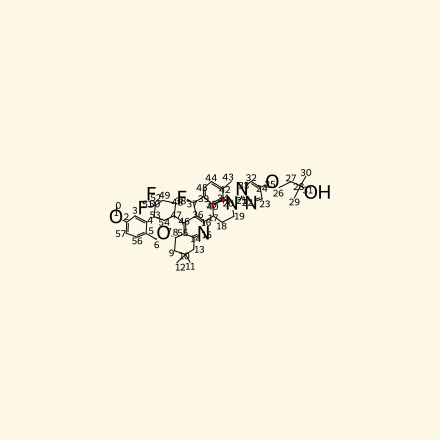 COc1ccc(CO[C@H]2CC(C)(C)Cc3nc(C4CCN(c5ncc(OCCC(C)(C)O)cn5)CC4)c([C@@H](F)c4ccc(C)cc4)c(C4CCC(F)(F)CC4)c32)cc1